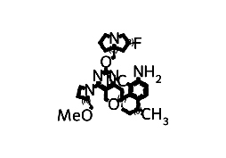 COC[C@H]1CCN1c1nc(OC[C@@]23CCCN2C[C@H](F)C3)nc2c1CO[C@@]1(CC[C@H](C)c3ccc(N)c(C#N)c31)C2